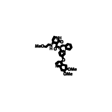 COCCNc1cc[nH]c(=O)c1C(=O)N(Cc1ccccc1)c1ccc(Oc2ccnc3cc(OC)c(OC)cc23)cn1